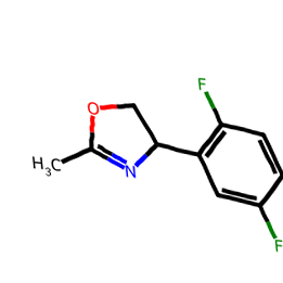 CC1=NC(c2cc(F)ccc2F)CO1